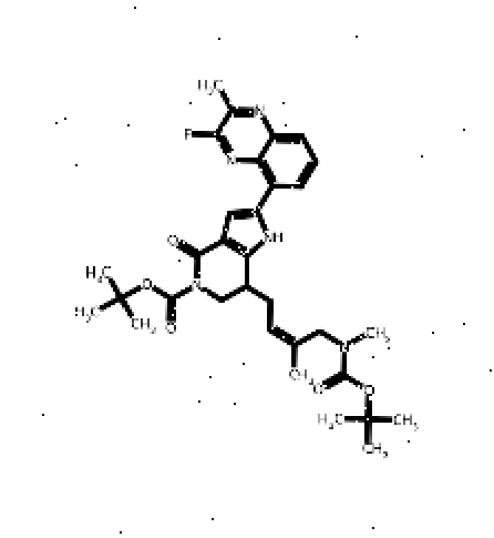 CC(=CCC1CN(C(=O)OC(C)(C)C)C(=O)c2cc(-c3cccc4nc(C)c(F)nc34)[nH]c21)CN(C)C(=O)OC(C)(C)C